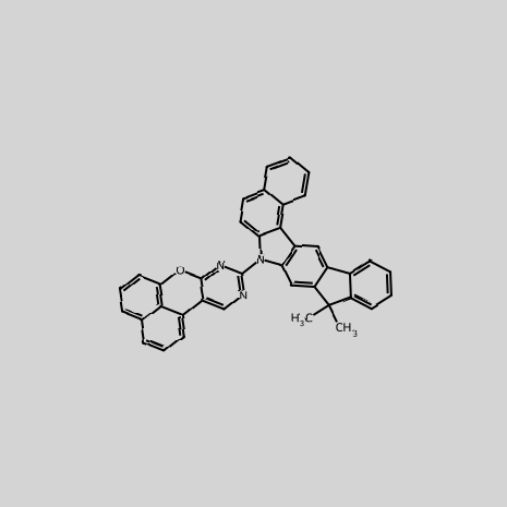 CC1(C)c2ccccc2-c2cc3c4c5ccccc5ccc4n(-c4ncc5c(n4)Oc4cccc6cccc-5c46)c3cc21